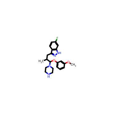 COc1[c]ccc(OC(C(C)Cc2n[nH]c3cc(F)ccc23)N2CCNCC2)c1